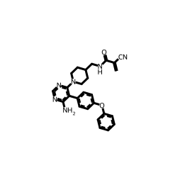 C=C(C#N)C(=O)NCC1CCN(c2ncnc(N)c2-c2ccc(Oc3ccccc3)cc2)CC1